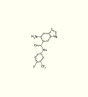 Nc1cc2scnc2cc1C(=O)Nc1ccc(F)c(C(F)(F)F)c1